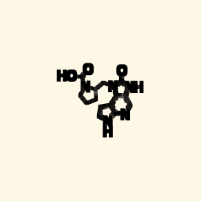 O=C(O)N1CCCC1Cn1c(=O)[nH]c2cnc3[nH]ccc3c21